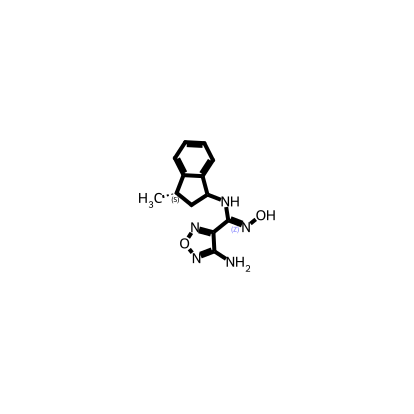 C[C@H]1CC(N/C(=N\O)c2nonc2N)c2ccccc21